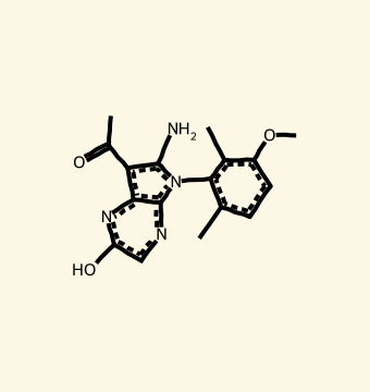 COc1ccc(C)c(-n2c(N)c(C(C)=O)c3nc(O)cnc32)c1C